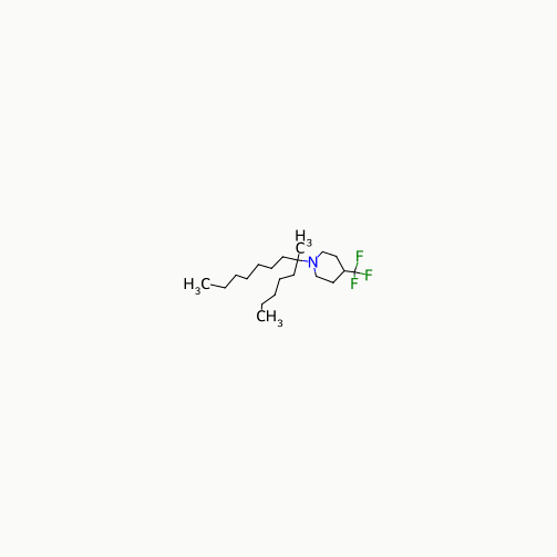 CCCCCCCC(C)(CCCCC)N1CCC(C(F)(F)F)CC1